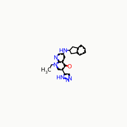 CCn1cc(-c2cnn[nH]2)c(=O)c2cc(NC3Cc4ccccc4C3)cnc21